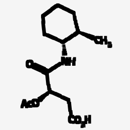 CC(=O)O[C@H](CC(=O)O)C(=O)N[C@@H]1CCCC[C@H]1C